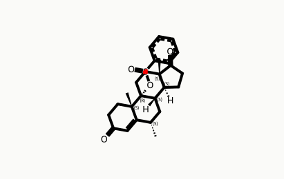 C[C@H]1C[C@H]2[C@@H]3CCC(=O)[C@@]3(C)CC[C@]2(OS(=O)c2ccccc2)[C@@]2(C)CCC(=O)C=C12